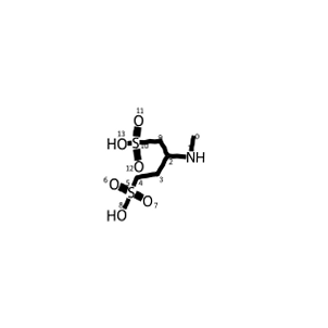 CNC(CCS(=O)(=O)O)CS(=O)(=O)O